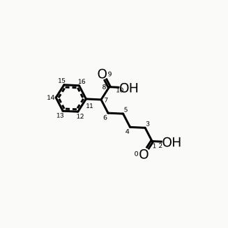 O=C(O)CCCCC(C(=O)O)c1ccccc1